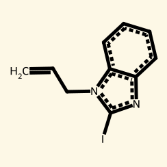 C=CCn1c(I)nc2ccccc21